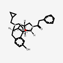 O=C(Cc1ccccc1)N1C[C@H]2O[C@@]34CC[C@@H]1[C@@H]2[C@@]31CCN(CC2CC2)[C@@H]4Cc2ccc(O)cc21